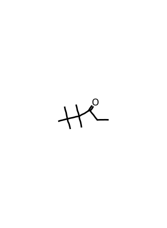 CCC(=O)C(C)(C)C(C)(C)C